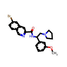 COc1cccc(C(CN2CCCC2)NC(=O)c2cc3cc(Br)ccc3cn2)c1